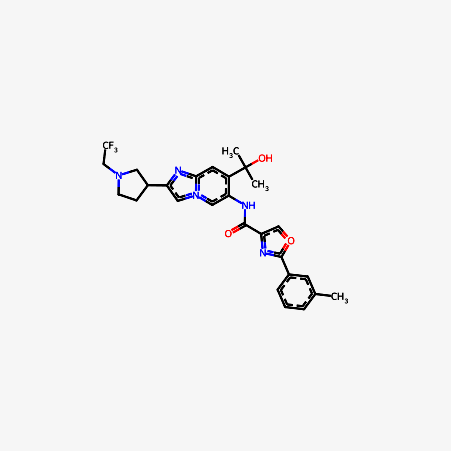 Cc1cccc(-c2nc(C(=O)Nc3cn4cc(C5CCN(CC(F)(F)F)C5)nc4cc3C(C)(C)O)co2)c1